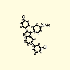 CSc1ccc(-c2c(-c3ccc(Cl)cc3)nc3ncc(-c4cccc(Cl)c4)cn23)cc1